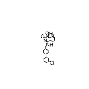 O=c1nc(NCc2ccc(-c3cccc(Cl)c3)cc2)c2cccnc2n1O